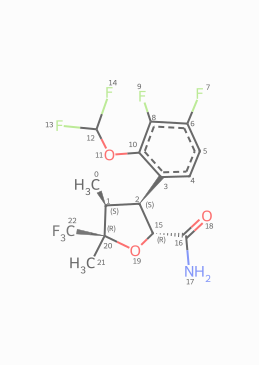 C[C@H]1[C@@H](c2ccc(F)c(F)c2OC(F)F)[C@H](C(N)=O)O[C@@]1(C)C(F)(F)F